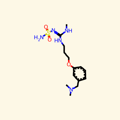 CN/C(=N/S(N)(=O)=O)NCCCOc1cccc(CN(C)C)c1